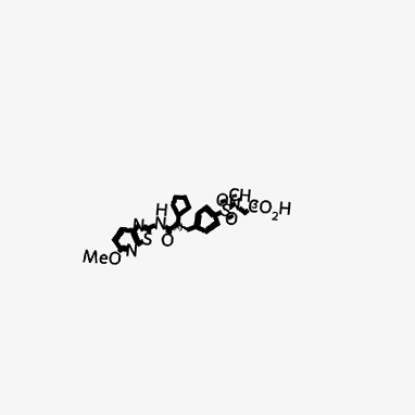 COc1ccc2nc(NC(=O)[C@H](Cc3ccc(S(=O)(=O)N(C)CC(=O)O)cc3)C3CCCC3)sc2n1